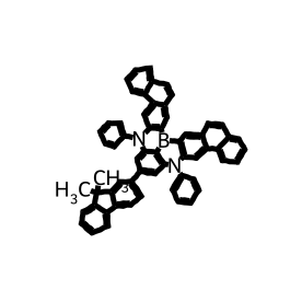 CC1(C)c2ccccc2-c2ccc(-c3cc4c5c(c3)N(c3ccccc3)c3cc6c(ccc7ccccc76)cc3B5c3cc5ccc6ccccc6c5cc3N4c3ccccc3)cc21